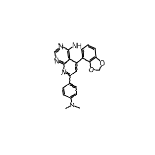 CN(C)c1ccc(-c2cc(-c3cccc4c3OCO4)c3c(N)ncnc3n2)cc1